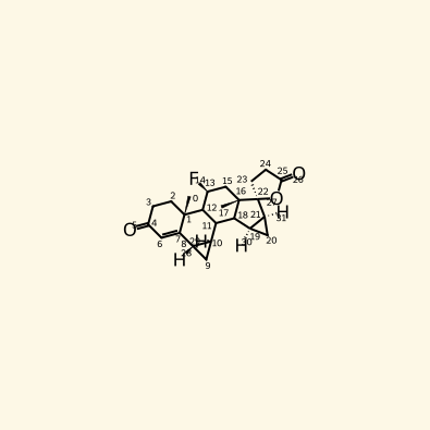 C[C@]12CCC(=O)C=C1[C@H]1C[C@H]1C1C2[C@@H](F)C[C@@]2(C)C1[C@@H]1C[C@@H]1[C@@]21CCC(=O)O1